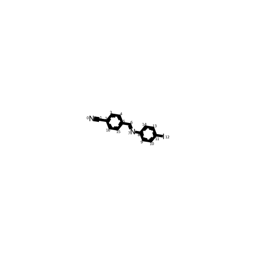 N#Cc1ccc(C=Nc2ccc(I)cc2)cc1